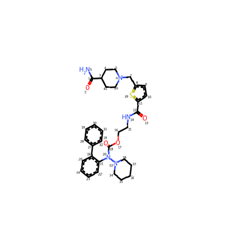 NC(=O)C1CCN(Cc2ccc(C(=O)NCCOC(=O)N(c3ccccc3-c3ccccc3)N3CC[CH]CC3)s2)CC1